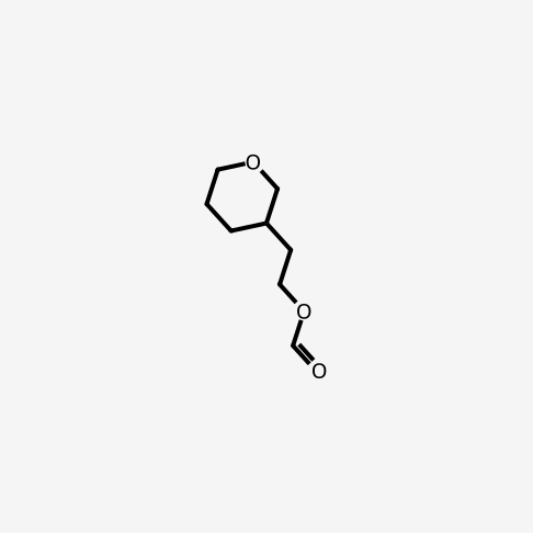 O=COCCC1CCCOC1